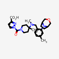 Cc1ccc(CN(C)C2(C)CCN(C(=O)n3ccc(C(=O)O)n3)CC2)c(N2C3CCC2COC3)c1